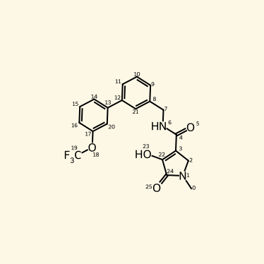 CN1CC(C(=O)NCc2cccc(-c3cccc(OC(F)(F)F)c3)c2)=C(O)C1=O